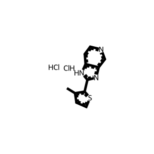 Cc1ccsc1-c1nc2cnccc2[nH]1.Cl.Cl